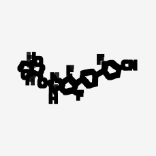 N#Cc1ccc(-c2ccc(-c3c(F)cc4[nH]c(OC5CO[C@@H]6CCO[C@H]56)nc4c3F)cc2)c(F)c1